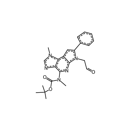 CN(C(=O)OC(C)(C)C)c1nc2c(cc(-c3ccccc3)n2CC=O)c2c1ncn2C